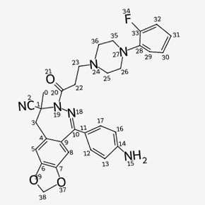 CC1(C#N)Cc2cc3c(cc2C(c2ccc(N)cc2)=NN1C(=O)CCN1CCN(c2ccccc2F)CC1)OCO3